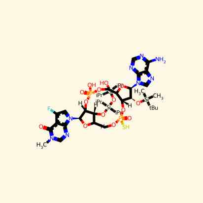 CC(C)[Si](O)(O[Si](O[C@H]1[C@H]2OP(=O)(O)OCC3O[C@@H](n4cnc5c(N)ncnc54)[C@H](O[Si](C)(C)C(C)(C)C)[C@@H]3OP(=O)(S)OC[C@H]1O[C@H]2n1cc(F)c2c(=O)n(C)cnc21)(C(C)C)C(C)C)C(C)C